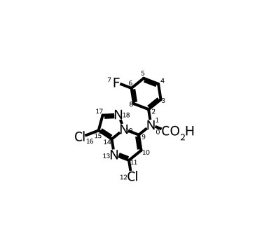 O=C(O)N(c1cccc(F)c1)c1cc(Cl)nc2c(Cl)cnn12